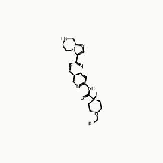 CC(C)CN1CCC(F)(C(=O)Nc2cc3nc(-c4cnc5n4CCNC5)ccc3cn2)CC1